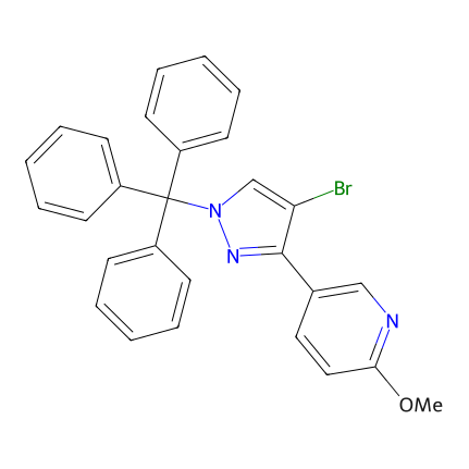 COc1ccc(-c2nn(C(c3ccccc3)(c3ccccc3)c3ccccc3)cc2Br)cn1